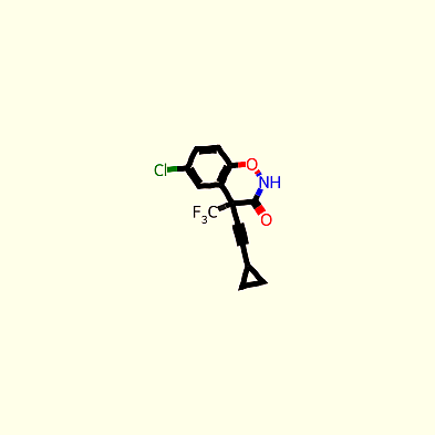 O=C1NOc2ccc(Cl)cc2C1(C#CC1CC1)C(F)(F)F